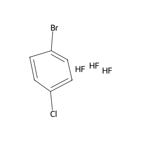 Clc1ccc(Br)cc1.F.F.F